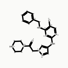 O=C(Cn1cc(Nc2ncc(Cl)c(NCc3ccccc3)n2)cn1)N1CCNCC1